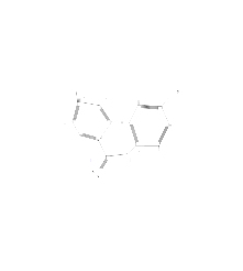 O/N=C(\Cc1ccc(F)cc1)c1ccc(F)cc1